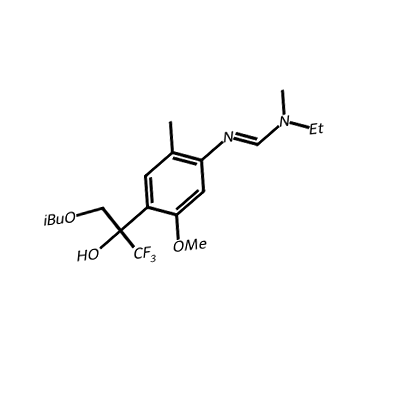 CCN(C)C=Nc1cc(OC)c(C(O)(COCC(C)C)C(F)(F)F)cc1C